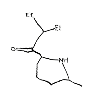 CCC(CC)C(=O)C1CCC(C)N1